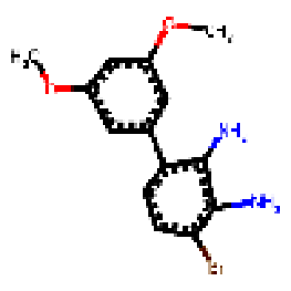 COc1cc(OC)cc(-c2ccc(Br)c(N)c2N)c1